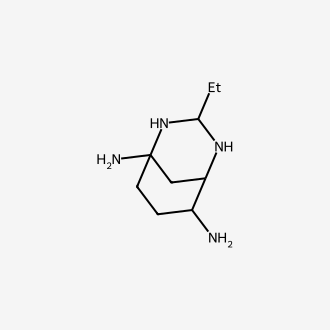 CCC1NC2CC(N)(CCC2N)N1